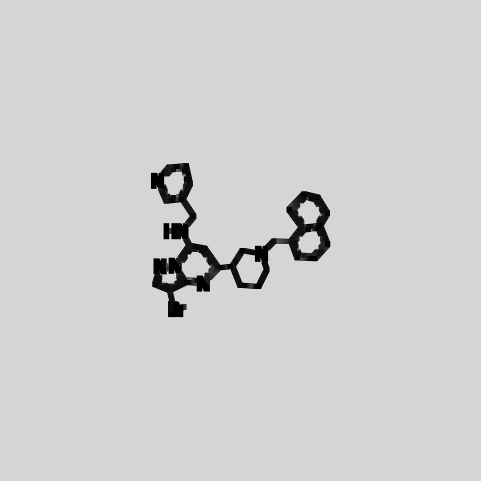 Brc1cnn2c(NCc3cccnc3)cc(C3CCCN(Cc4cccc5ccccc45)C3)nc12